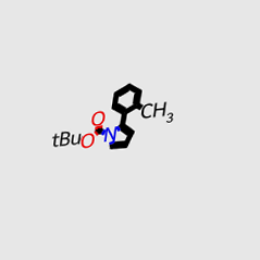 Cc1ccccc1-c1cccn1C(=O)OC(C)(C)C